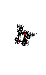 O=S(=O)([O-])c1ccccc1-c1c2nc(c(-c3ccccc3S(=O)(=O)[O-])c3ccc([nH]3)c(-c3ccccc3S(=O)(=O)[O-])c3nc(c(-c4ccccc4S(=O)(=O)[O-])c4ccc1[nH]4)C=C3)C=C2.[Na+].[Na+].[Na+].[Na+]